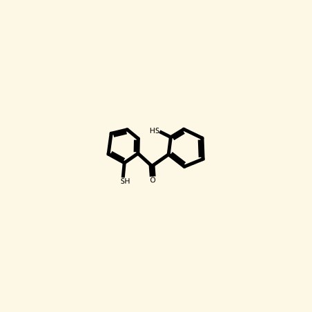 O=C(c1ccccc1S)c1ccccc1S